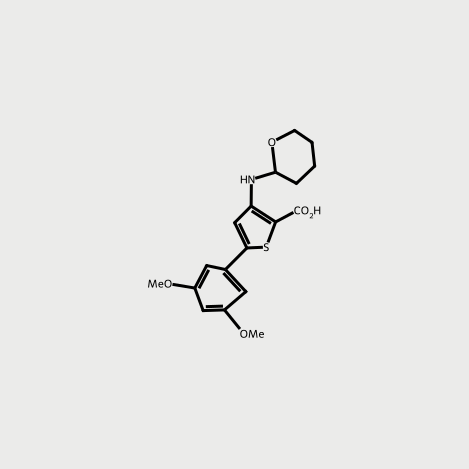 COc1cc(OC)cc(-c2cc(NC3CCCCO3)c(C(=O)O)s2)c1